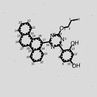 CCCOc1nc(-c2ccc(O)cc2O)nc(-c2cc3c4ccccc4ccc3c3ccccc23)n1